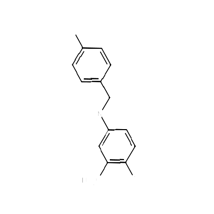 O=C(O)c1cc(NCc2ccc(F)cc2)ccc1O